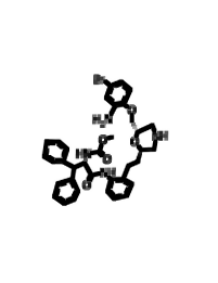 COC(=O)N[C@H](C(=O)Nc1ccccc1CC[C@@H]1CNC[C@@H](COc2ccc(Br)cc2N)O1)C(c1ccccc1)c1ccccc1